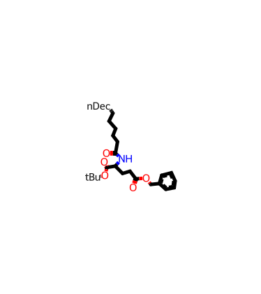 CCCCCCCCCCCCCCCC(=O)NC(CCC(=O)OCc1ccccc1)C(=O)OC(C)(C)C